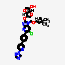 C[Si](C)(C)CCOCn1c(O[C@@H]2CO[C@H]3[C@@H]2OC[C@H]3O)nc2nc(-c3ccc(-c4ccc(-n5cncn5)nc4)cc3)c(Cl)cc21